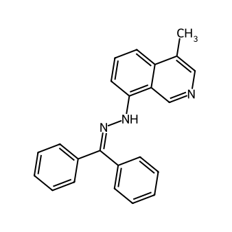 Cc1cncc2c(NN=C(c3ccccc3)c3ccccc3)cccc12